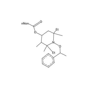 CCCCCCCCCC(=O)OC1CC(C)(CC)N(OC(C)c2ccccc2)C(C)(CC)C1C